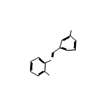 O=C(O)c1ccccc1/N=C/c1cccc([N+](=O)[O-])c1